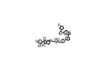 O=C(CN1CCN(c2cccc(-c3cnc4ccc(N5CCCC5c5cccc(F)c5)nn34)n2)CC1)NCCNc1ccc2c(c1)C(=O)N(C1CCC(=O)NC1=O)C2=O